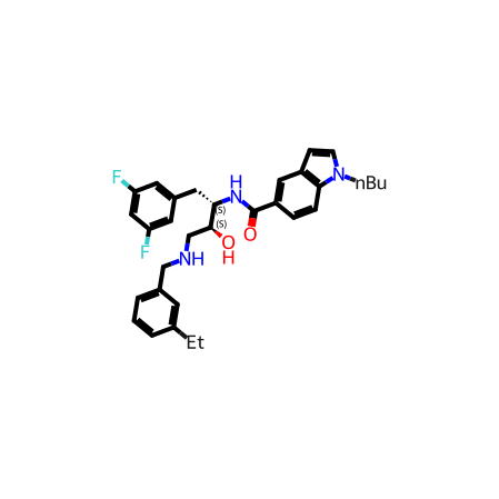 CCCCn1ccc2cc(C(=O)N[C@@H](Cc3cc(F)cc(F)c3)[C@@H](O)CNCc3cccc(CC)c3)ccc21